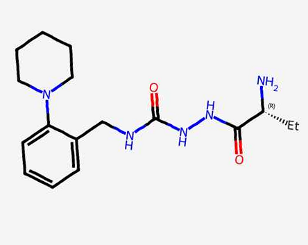 CC[C@@H](N)C(=O)NNC(=O)NCc1ccccc1N1CCCCC1